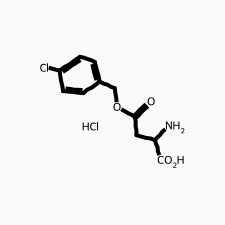 Cl.NC(CC(=O)OCc1ccc(Cl)cc1)C(=O)O